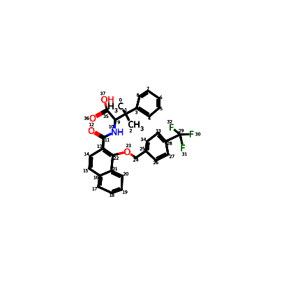 CC(C)(c1ccccc1)C(NC(=O)c1ccc2ccccc2c1OCc1ccc(C(F)(F)F)cc1)C(=O)O